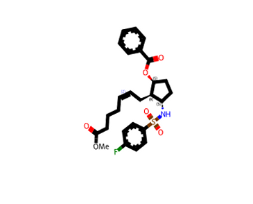 COC(=O)CCC/C=C\C[C@@H]1[C@@H](NS(=O)(=O)c2ccc(F)cc2)CC[C@@H]1OC(=O)c1ccccc1